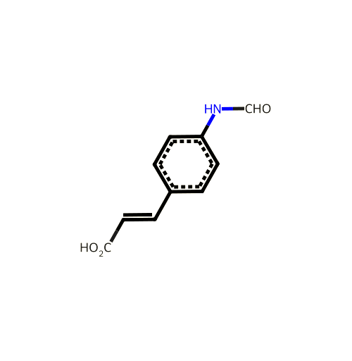 O=CNc1ccc(C=CC(=O)O)cc1